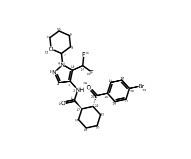 O=C(Nc1cnn(C2CCCCO2)c1C(F)F)[C@@H]1CCCC[C@H]1C(=O)c1ccc(Br)cc1